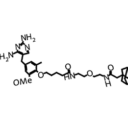 COc1cc(Cc2cnc(N)nc2N)cc(C)c1OCCCCC(=O)NCCOCCNC(=O)CC12CC3CC(CC(C3)C1)C2